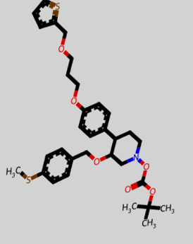 CSc1ccc(COC2CN(OC(=O)OC(C)(C)C)CCC2c2ccc(OCCCOCc3cccs3)cc2)cc1